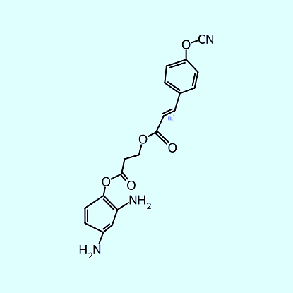 N#COc1ccc(/C=C/C(=O)OCCC(=O)Oc2ccc(N)cc2N)cc1